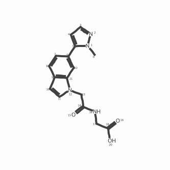 Cn1nccc1-c1ccc2ccn(CC(=O)NCC(=O)O)c2c1